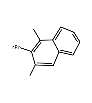 CCCc1c(C)cc2ccccc2c1C